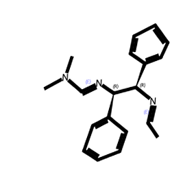 C/C=N/[C@H](c1ccccc1)[C@H](/N=C/N(C)C)c1ccccc1